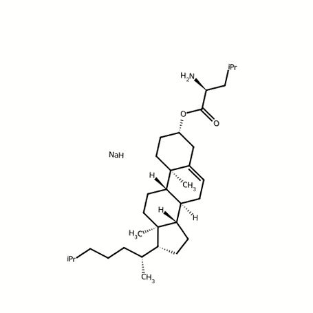 CC(C)CCC[C@@H](C)[C@H]1CC[C@H]2[C@@H]3CC=C4C[C@@H](OC(=O)[C@@H](N)CC(C)C)CC[C@]4(C)[C@H]3CC[C@]12C.[NaH]